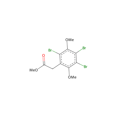 COC(=O)Cc1c(Br)c(OC)c(Br)c(Br)c1OC